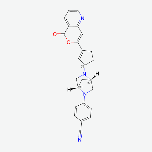 N#Cc1ccc(N2C[C@@H]3C[C@H]2CN3[C@@H]2C=C(c3cc4ncccc4c(=O)o3)CC2)cc1